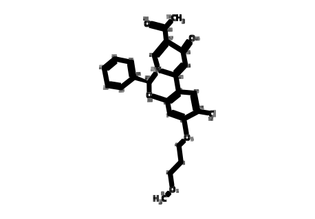 COCCCOc1cc2c(cc1Cl)-c1cc(=O)c(C(C)=O)cn1[C@H](c1ccccc1)O2